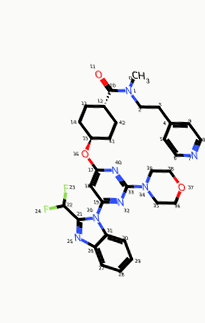 CN(CCc1ccncc1)C(=O)[C@H]1CC[C@H](Oc2cc(-n3c(C(F)F)nc4ccccc43)nc(N3CCOCC3)n2)CC1